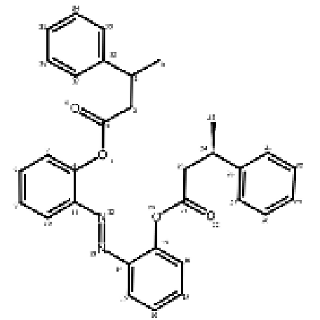 CC(CC(=O)Oc1ccccc1N=Nc1ccccc1OC(=O)C[C@@H](C)c1ccccc1)c1ccccc1